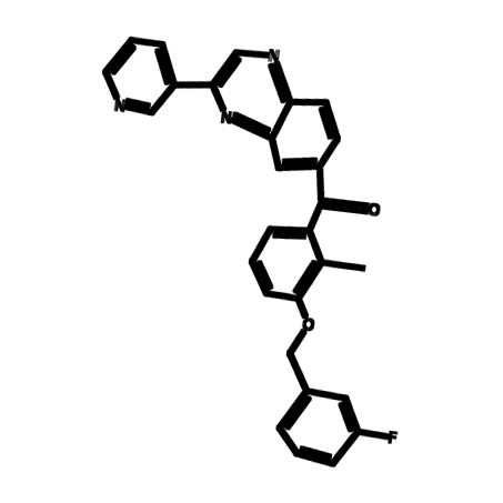 Cc1c(OCc2cccc(F)c2)cccc1C(=O)c1ccc2ncc(-c3cccnc3)nc2c1